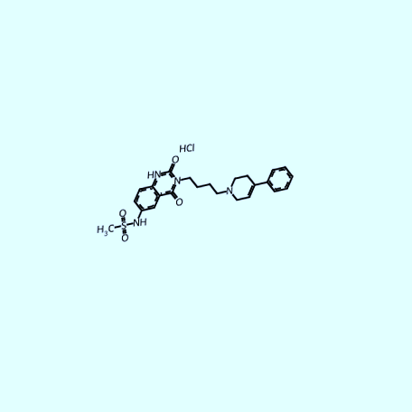 CS(=O)(=O)Nc1ccc2[nH]c(=O)n(CCCCN3CC=C(c4ccccc4)CC3)c(=O)c2c1.Cl